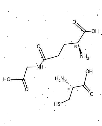 N[C@@H](CCC(=O)NCC(=O)O)C(=O)O.N[C@@H](CS)C(=O)O